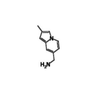 Cc1cc2cc(CN)ccn2c1